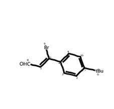 CC(C)(C)c1ccc(/C(Br)=C/C=O)cc1